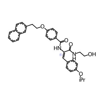 CC(C)Oc1ccc(/C=C(/NC(=O)c2ccc(OCCc3ccc4ccccc4c3)cc2)C(=O)NCCO)cc1